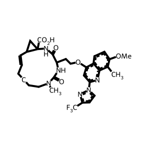 COc1ccc2c(OCCC3NC(=O)N(C)CCCC/C=C/C4CC4(C(=O)O)NC3=O)cc(-n3ccc(C(F)(F)F)n3)nc2c1C